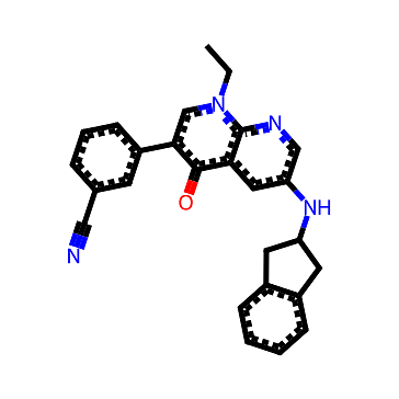 CCn1cc(-c2cccc(C#N)c2)c(=O)c2cc(NC3Cc4ccccc4C3)cnc21